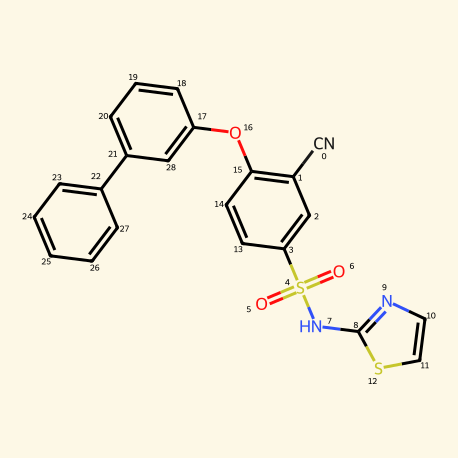 N#Cc1cc(S(=O)(=O)Nc2nccs2)ccc1Oc1cccc(-c2ccccc2)c1